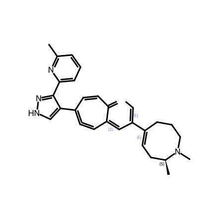 C=C1C=CC(c2c[nH]nc2-c2cccc(C)n2)=C=C/C1=C/C(=C\C)C1=C/C[C@H](C)N(C)CCC\1